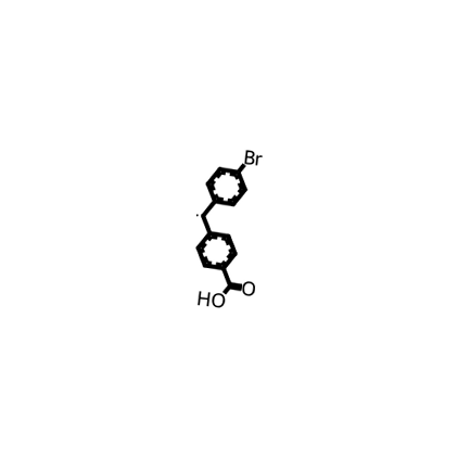 O=C(O)c1ccc([CH]c2ccc(Br)cc2)cc1